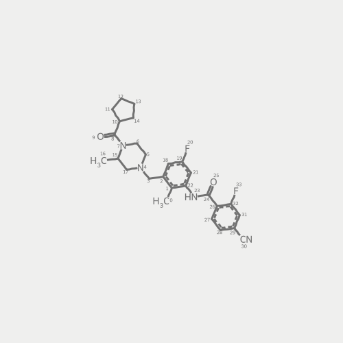 Cc1c(CN2CCN(C(=O)C3CCCC3)C(C)C2)cc(F)cc1NC(=O)c1ccc(C#N)cc1F